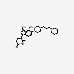 Cc1c(N2CCN(CCCC3CCCCC3)CC2)ccc2c(C3CCC(=O)NC3=O)nn(C)c12